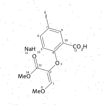 COC=C(Oc1ccc(I)cc1C(=O)O)C(=O)OC.[NaH]